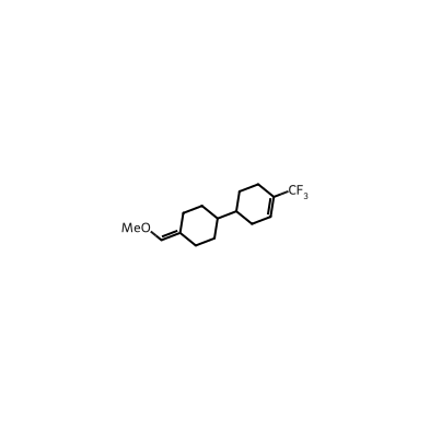 COC=C1CCC(C2CC=C(C(F)(F)F)CC2)CC1